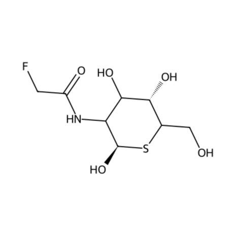 O=C(CF)NC1C(O)[C@H](O)C(CO)S[C@H]1O